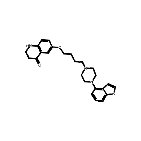 O=C1CCNc2ccc(OCCCCN3CCN(c4cccc5sccc45)CC3)cc21